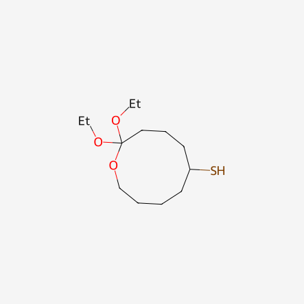 CCOC1(OCC)CCCC(S)CCCCO1